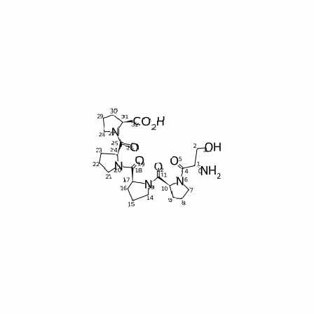 N[C@@H](CO)C(=O)N1CCC[C@H]1C(=O)N1CCC[C@H]1C(=O)N1CCC[C@H]1C(=O)N1CCC[C@H]1C(=O)O